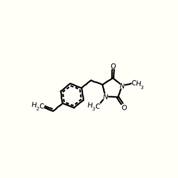 C=Cc1ccc(CC2C(=O)N(C)C(=O)N2C)cc1